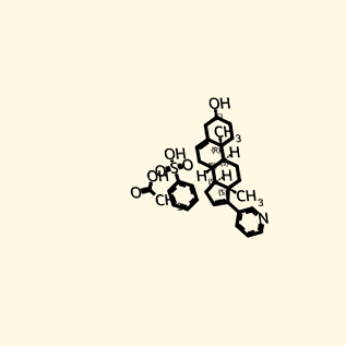 CC(=O)O.C[C@]12CC[C@H](O)CC1=CC[C@@H]1[C@@H]2CC[C@]2(C)C(c3cccnc3)=CC[C@@H]12.O=S(=O)(O)c1ccccc1